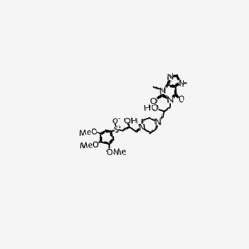 COc1cc([S+]([O-])CC(O)CN2CCN(CC(O)Cn3c(=O)c4c(ncn4C)n(C)c3=O)CC2)cc(OC)c1OC